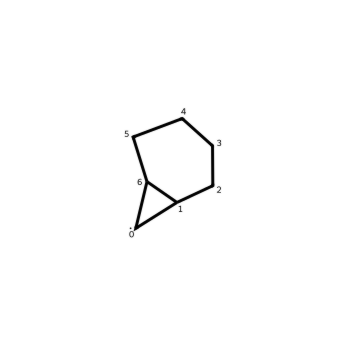 [CH]1C2CCCCC12